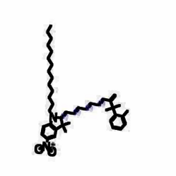 C=C(/C=C/C=C/C=C/C=C1/N(CCCCCCCCCCCCCC)c2ccc([N+](=O)[O-])cc2C1(C)C)C(C)(C)c1ccccc1C